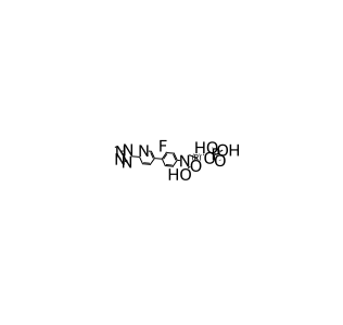 Cn1nnc(-c2ccc(-c3ccc(N4C[C@H](COP(=O)(O)O)OC4O)cc3F)cn2)n1